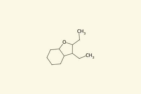 CCC1OC2CCCCC2C1CC